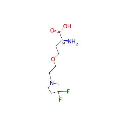 N[C@@H](CCOCCN1CCC(F)(F)C1)C(=O)O